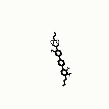 CCCCc1ccc(-c2ccc(-c3ccc(C4COC(CCC)OC4)c(F)c3)cc2)c(F)c1F